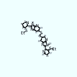 CCSc1cccnc1-c1nc2cc(SSc3cnc4c(c3)nc(-c3ncccc3SCC)n4C)cnc2n1C